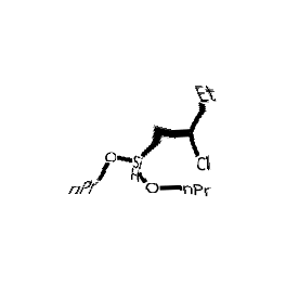 CCCO[SiH](CC(Cl)CC)OCCC